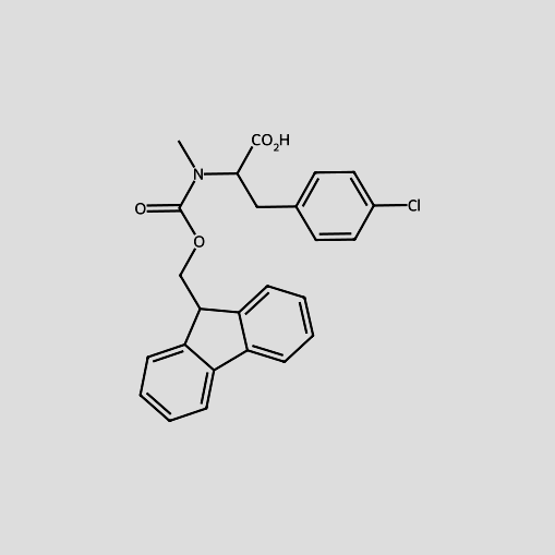 CN(C(=O)OCC1c2ccccc2-c2ccccc21)C(Cc1ccc(Cl)cc1)C(=O)O